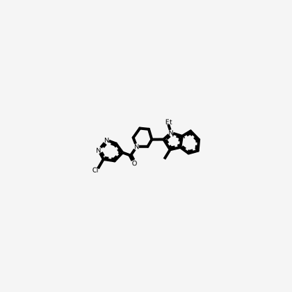 CCn1c(C2CCCN(C(=O)c3cnnc(Cl)c3)C2)c(C)c2ccccc21